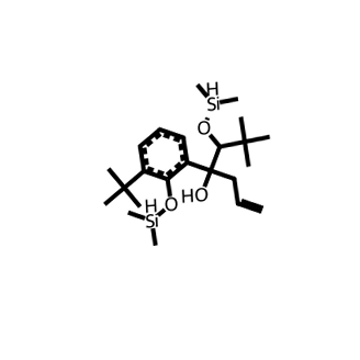 C=CCC(O)(c1cccc(C(C)(C)C)c1O[SiH](C)C)C(O[SiH](C)C)C(C)(C)C